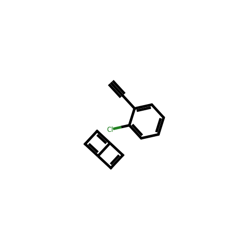 C#Cc1ccccc1Cl.c1cc2ccc1-2